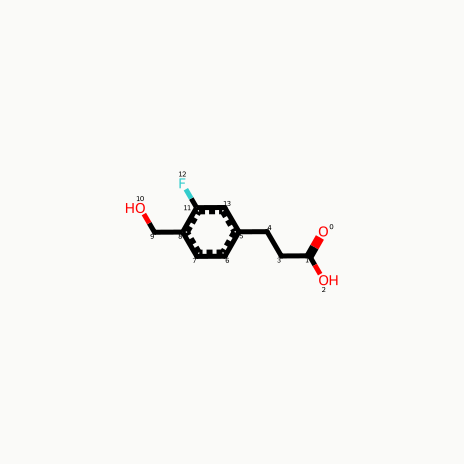 O=C(O)CCc1ccc(CO)c(F)c1